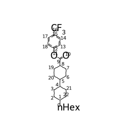 CCCCCCC1CCC(C2CCC(C(=O)Oc3ccc(C(F)(F)F)cc3)CC2)CC1